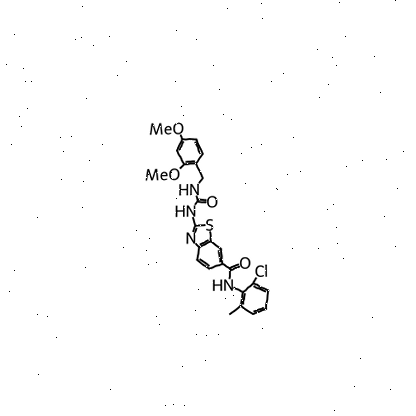 COc1ccc(CNC(=O)Nc2nc3ccc(C(=O)Nc4c(C)cccc4Cl)cc3s2)c(OC)c1